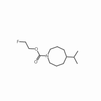 CC(C)C1CCCN(C(=O)OCCF)CCC1